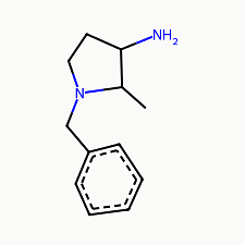 CC1C(N)CCN1Cc1ccccc1